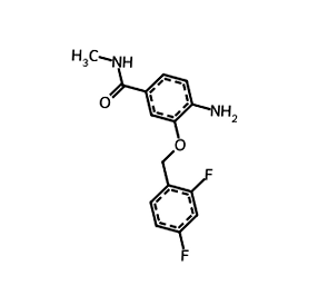 CNC(=O)c1ccc(N)c(OCc2ccc(F)cc2F)c1